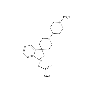 CCOC(=O)N1CCC(N2CCC3(CC2)C[C@H](NC(=O)OC)c2ccccc23)CC1